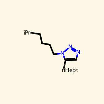 CCCCCCCc1cnnn1CCCCC(C)C